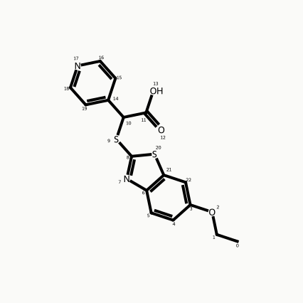 CCOc1ccc2nc(SC(C(=O)O)c3ccncc3)sc2c1